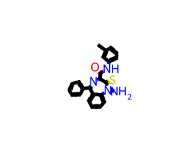 Cc1cccc(NC(=O)C2N=C(c3ccccc3)c3ccccc3N(N)C2=S)c1